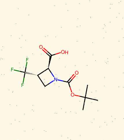 CC(C)(C)OC(=O)N1C[C@H](C(F)(F)F)[C@H]1C(=O)O